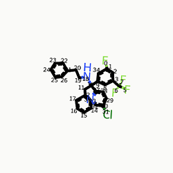 Fc1cc(C(F)(F)F)cc(C(Cc2ccccc2)(NCCc2ccccc2)c2ccc(Cl)cn2)c1